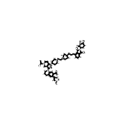 CC(=O)N1CCc2c(c(N3CCCc4cc(-c5cnn(C)c5)c(C(F)F)cc43)nn2C2CCN(CCN3CCC(CCCc4cccc5c4C(=O)N(C4CCC(=O)NC4=O)C5=O)CC3)CC2)C1